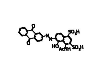 CC(=O)Nc1c(S(=O)(=O)O)cc(S(=O)(=O)O)c2ccc(N=Nc3ccc4c(c3)C(=O)c3ccccc3C4=O)c(O)c12